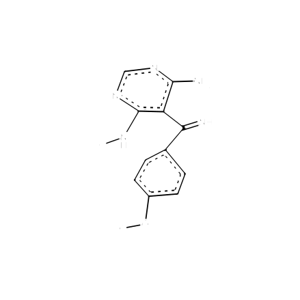 CNc1ncnc(N)c1C(=N)c1ccc(OC)cc1